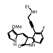 CCNCC#Cc1c(F)ccc2c1C(=Cc1[nH]ccc1OC)C(=O)N2